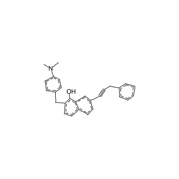 CN(C)c1ccc(Cc2ccc3ccc(C#CCc4ccccc4)cc3c2O)cc1